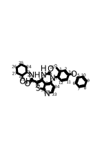 Cc1cc(Oc2ccccc2)ccc1N1C(=O)Nc2c(C(=O)N[C@H]3CCCC[C@@H]3O)sc3nccc1c23